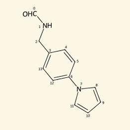 O=CNCc1ccc(-n2cccc2)cc1